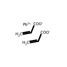 C=CC(=O)[O-].C=CC(=O)[O-].[Pb+2]